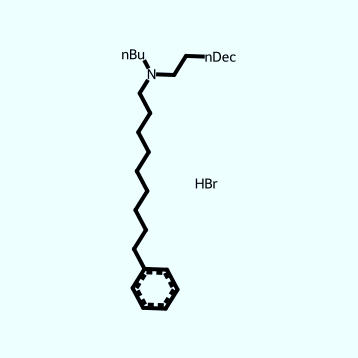 Br.CCCCCCCCCCCCN(CCCC)CCCCCCCCCc1ccccc1